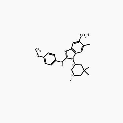 Cc1cc2c(cc1C(=O)O)nc(Nc1ccc(OC(F)(F)F)cc1)n2[C@@H]1C[C@@H](C)CC(C)(C)C1